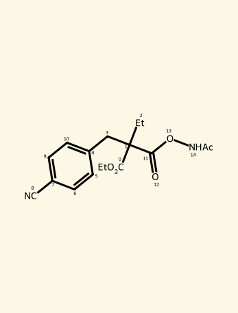 CCOC(=O)C(CC)(Cc1ccc(C#N)cc1)C(=O)ONC(C)=O